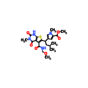 COCNC(=O)c1c(C(CC(C)C)c2cc(C(=O)OC)n(C)c2)sc2[nH]c(=O)n(C)c(=O)c12